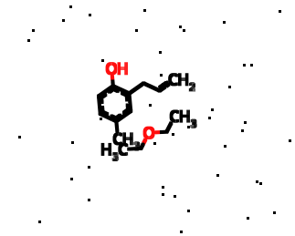 C=CCc1cc(C)ccc1O.CCOCC